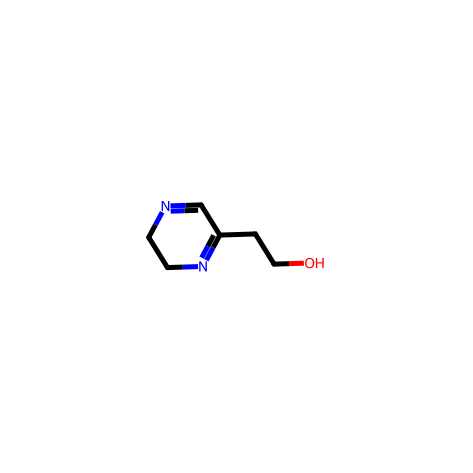 OCCC1=NCCN=C1